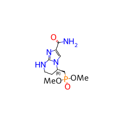 COP(=O)(C[C@H]1CCNc2nc(C(N)=O)cn21)OC